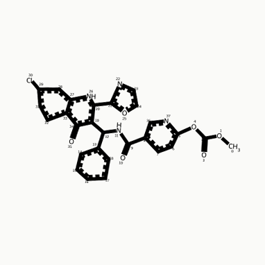 COC(=O)Oc1ccc(C(=O)NC(c2ccccc2)c2c(-c3ncco3)[nH]c3cc(Cl)ccc3c2=O)cn1